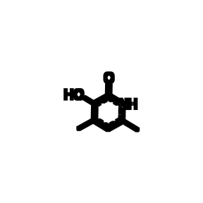 Cc1cc(C)c(O)c(=O)[nH]1